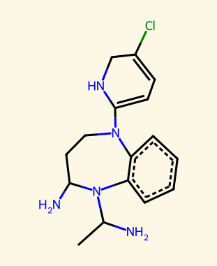 CC(N)N1c2ccccc2N(C2=CC=C(Cl)CN2)CCC1N